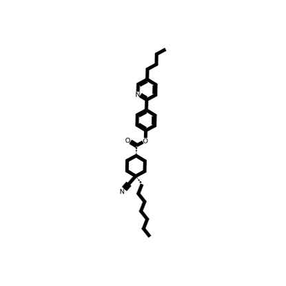 CCCCCCC[C@]1(C#N)CC[C@H](C(=O)Oc2ccc(-c3ccc(CCCC)cn3)cc2)CC1